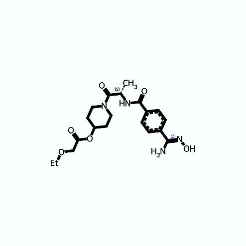 CCOCC(=O)OC1CCN(C(=O)[C@H](C)NC(=O)c2ccc(/C(N)=N/O)cc2)CC1